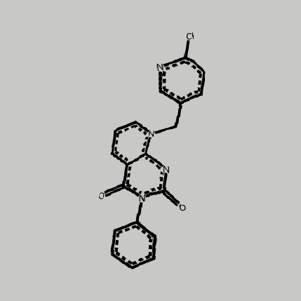 O=c1nc2n(Cc3ccc(Cl)nc3)cccc-2c(=O)n1-c1ccccc1